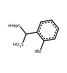 CCCCCCCC(c1ccccc1C(C)(C)C)S(=O)(=O)O